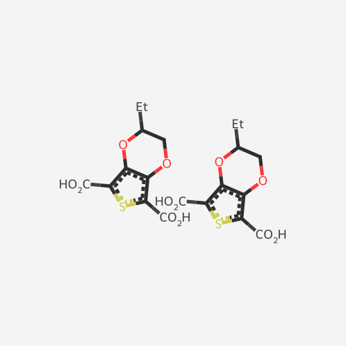 CCC1COc2c(C(=O)O)sc(C(=O)O)c2O1.CCC1COc2c(C(=O)O)sc(C(=O)O)c2O1